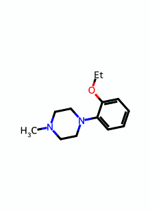 [CH2]COc1ccccc1N1CCN(C)CC1